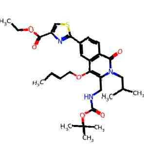 CCCCOc1c(CNC(=O)OC(C)(C)C)n(CC(C)C)c(=O)c2ccc(-c3nc(C(=O)OCC)cs3)cc12